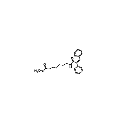 COC(=O)CCCCCCNC(=O)C(=Cc1ccccc1)c1ccccc1